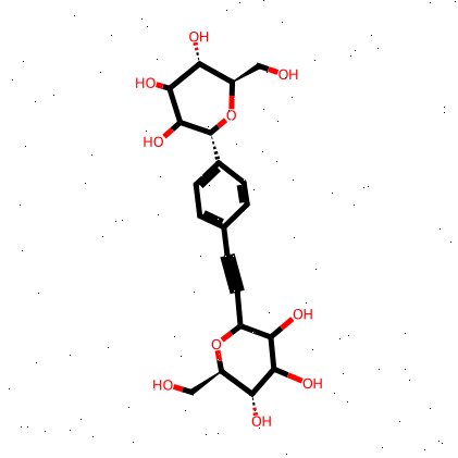 OC[C@H]1OC(C#Cc2ccc([C@H]3O[C@H](CO)[C@@H](O)C(O)C3O)cc2)C(O)C(O)[C@@H]1O